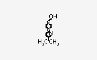 CC(C)c1ccc(N2CCN(CCO)CC2)nc1